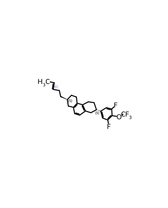 C/C=C/CC[C@H]1CCc2c(ccc3c2CC[C@H](c2cc(F)c(OC(F)(F)F)c(F)c2)C3)C1